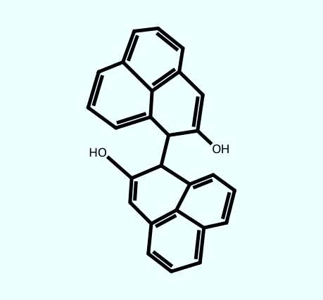 OC1=Cc2cccc3cccc(c23)C1C1C(O)=Cc2cccc3cccc1c23